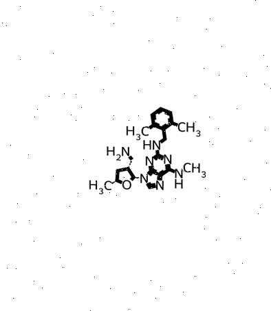 CNc1nc(NCc2c(C)cccc2C)nc2c1ncn2[C@@H]1O[C@H](C)C[C@@H]1CN